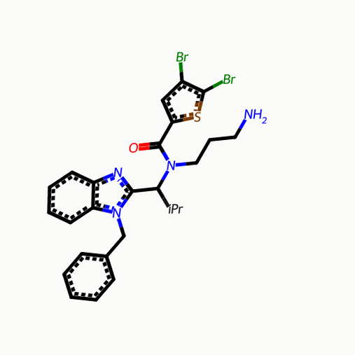 CC(C)C(c1nc2ccccc2n1Cc1ccccc1)N(CCCN)C(=O)c1cc(Br)c(Br)s1